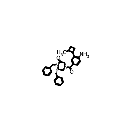 CC1CCC1c1cc(C(=O)N2CC(=O)N(Cc3ccccc3)[C@@H](Cc3ccccc3)C2)ccc1N